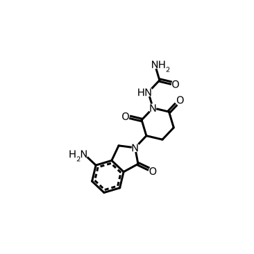 NC(=O)NN1C(=O)CCC(N2Cc3c(N)cccc3C2=O)C1=O